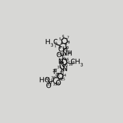 C/C=C(/C)c1ccccc1CCNC(=O)c1cc(CC)c2nc(-c3ccc4c(c3F)C=C(C(=O)O)CO4)cn2n1